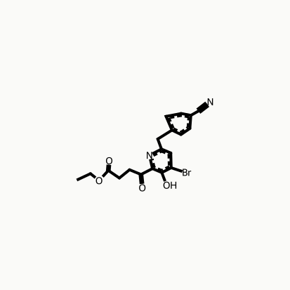 CCOC(=O)CCC(=O)c1nc(Cc2ccc(C#N)cc2)cc(Br)c1O